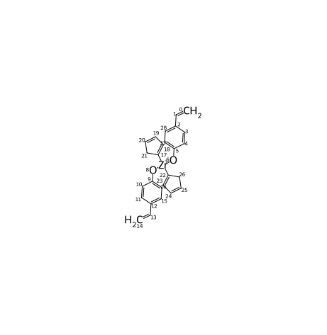 C=Cc1ccc([O][Zr]([O]c2ccc(C=C)cc2)([C]2=CC=CC2)[C]2=CC=CC2)cc1